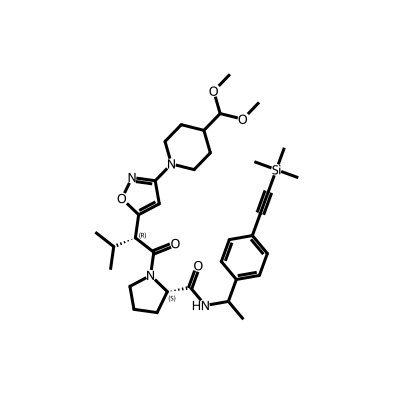 COC(OC)C1CCN(c2cc([C@H](C(=O)N3CCC[C@H]3C(=O)NC(C)c3ccc(C#C[Si](C)(C)C)cc3)C(C)C)on2)CC1